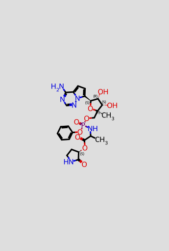 CC(NP(=O)(OC[C@@]1(C)O[C@@H](c2ccc3c(N)ncnn23)[C@H](O)[C@@H]1O)Oc1ccccc1)C(=O)O[C@H]1CCNC1=O